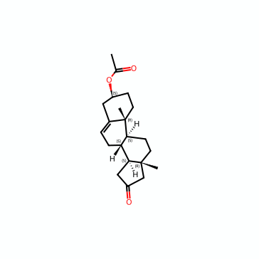 CC(=O)O[C@H]1CC[C@@]2(C)C(=CC[C@H]3[C@@H]4CC(=O)C[C@@]4(C)CC[C@@H]32)C1